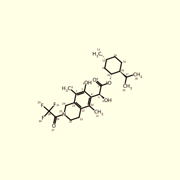 Cc1c(O)c([C@H](O)C(=O)O[C@@H]2C[C@H](C)CC[C@H]2C(C)C)c(C)c2c1CN(C(=O)C(F)(F)F)CC2